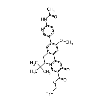 CCOC(=O)c1cn2c(cc1=O)-c1cc(OC)c(-c3ccc(NC(C)=O)nc3)cc1CC2C(C)(C)C